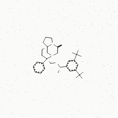 C[C@@H](OC[C@@]1(c2ccccc2)CC[C@@]23CCCN2C(=O)CN1C3)c1cc(C(F)(F)F)cc(C(F)(F)F)c1